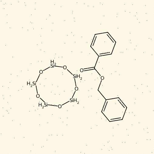 O1[SiH2]O[SiH2]O[SiH2]O[SiH2]O[SiH2]1.O=C(OCc1ccccc1)c1ccccc1